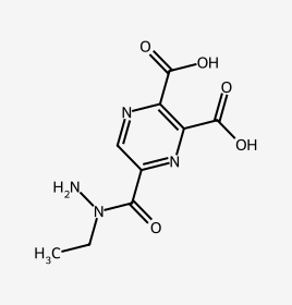 CCN(N)C(=O)c1cnc(C(=O)O)c(C(=O)O)n1